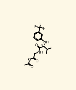 CC(=O)OC(=O)CNC(=O)[C@@H](Nc1cccc(C(F)(F)F)c1)C(C)C